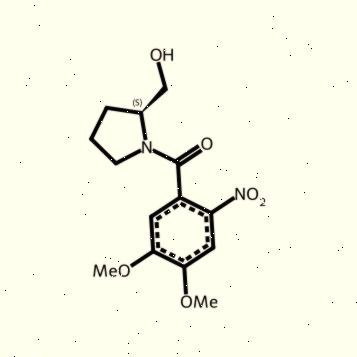 COc1cc(C(=O)N2CCC[C@H]2CO)c([N+](=O)[O-])cc1OC